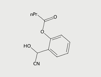 CCCC(=O)Oc1ccccc1C(O)C#N